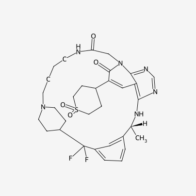 C[C@H]1Nc2ncnc3c2cc(C2CCS(=O)(=O)CC2)c(=O)n3CC(=O)NCCCCN2CCC(CC2)C(F)(F)c2cccc1c2